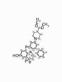 COC(OC)C1CCN(c2ccc([C@H]3c4ccc(O)cc4C(F)(F)C[C@H]3c3ccccc3)c(F)c2)CC1